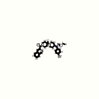 CCO/N=C(\c1ccc(Br)cc1)C1CCN(C2(C)CCN(C(=O)c3cc4ccccc4cn3)CC2)CC1